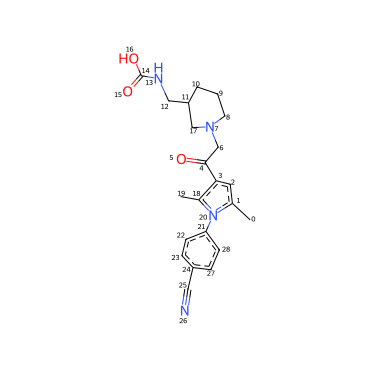 Cc1cc(C(=O)CN2CCCC(CNC(=O)O)C2)c(C)n1-c1ccc(C#N)cc1